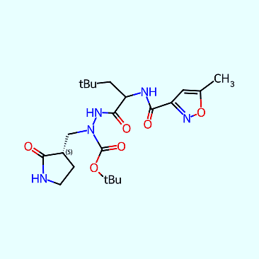 Cc1cc(C(=O)NC(CC(C)(C)C)C(=O)NN(C[C@@H]2CCNC2=O)C(=O)OC(C)(C)C)no1